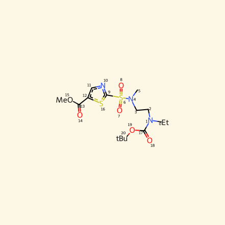 CCN(CCN(C)S(=O)(=O)c1ncc(C(=O)OC)s1)C(=O)OC(C)(C)C